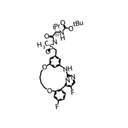 CC(C)[C@H](NC(=O)OC(C)(C)C)C(=O)N=S(C)(=O)Cc1cc2cc(c1)OCCCCOc1cc(F)ccc1-c1nc(ncc1F)N2